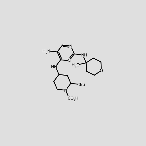 CC1(Nc2ncc(N)c(NC3CCN(C(=O)O)C(C(C)(C)C)C3)n2)CCOCC1